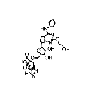 O=P(O)(O)C(CO)(Cc1nn[nH]n1)OC[C@H]1OC(c2ccc3c(NC4CCCC4)nc(OCCO)nn23)[C@H](O)[C@@H]1O